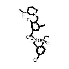 CCS(=O)(=O)c1ccc(Cl)cc1CNC(=O)c1cc(C)c(CN2CCC[C@H](NC)C2)c(Cl)c1